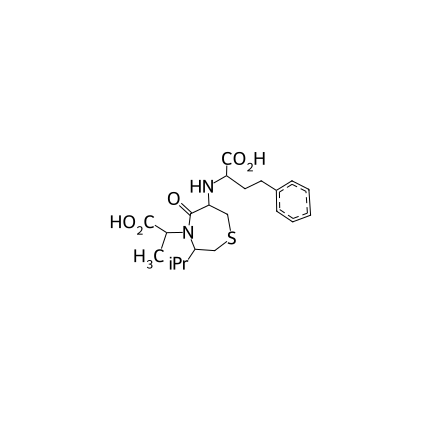 CC(C)C1CSCC(NC(CCc2ccccc2)C(=O)O)C(=O)N1C(C)C(=O)O